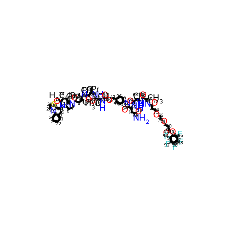 CC[C@H](C)C([C@@H](CC(=O)N1CCC[C@H]1[C@H](OC)C(C)C(=O)N[C@@H](Cc1ccccc1)c1nccs1)OC)N(C)C(=O)[C@@H](NC(=O)C(C)(C)NC(=O)OCc1ccc(NC(=O)[C@H](CC(N)=O)NC(=O)[C@H](C)NC(=O)[C@H](C)NC(=O)CCOCCOCCC(=O)Oc2c(F)c(F)c(F)c(F)c2F)cc1)C(C)C